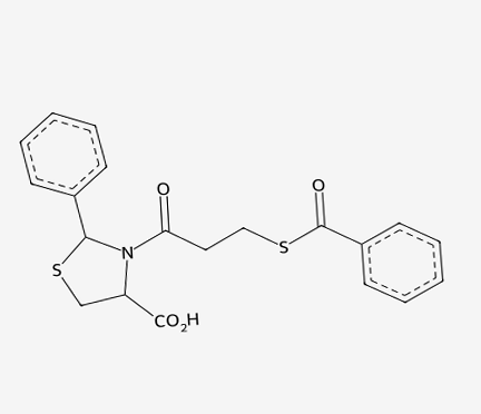 O=C(SCCC(=O)N1C(C(=O)O)CSC1c1ccccc1)c1ccccc1